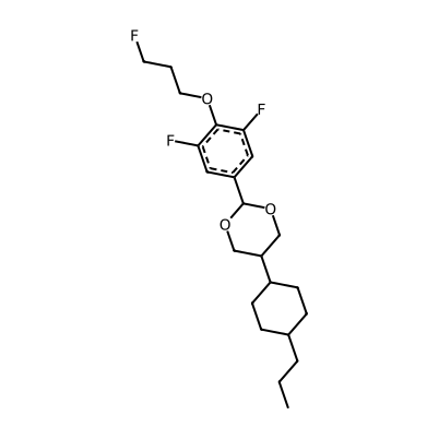 CCCC1CCC(C2COC(c3cc(F)c(OCCCF)c(F)c3)OC2)CC1